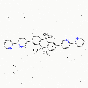 CC1(C)c2ccc(-c3ccc(-c4ccccn4)nc3)cc2C(C)(C)c2ccc(-c3ccc(-c4ccccn4)nc3)cc21